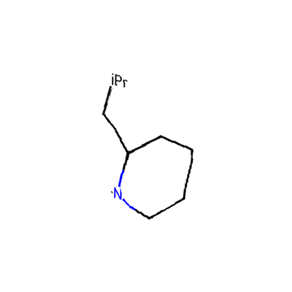 CC(C)CC1CCCC[N]1